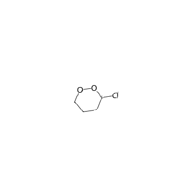 Cl[C]1CCCOO1